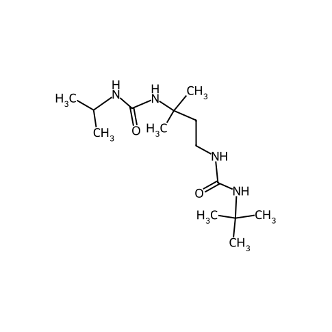 CC(C)NC(=O)NC(C)(C)CCNC(=O)NC(C)(C)C